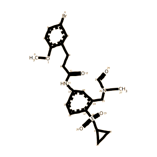 COc1ccc(Br)cc1CCC(=O)Nc1ccc(S(=O)(=O)C2CC2)c(CN(C)C=O)c1